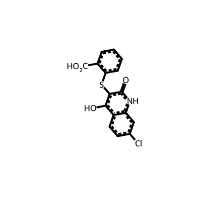 O=C(O)c1ccccc1Sc1c(O)c2ccc(Cl)cc2[nH]c1=O